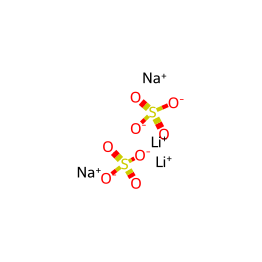 O=S(=O)([O-])[O-].O=S(=O)([O-])[O-].[Li+].[Li+].[Na+].[Na+]